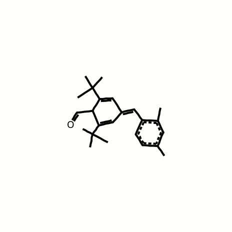 Cc1ccc(C=C2C=C(C(C)(C)C)C(C=O)C(C(C)(C)C)=C2)c(C)c1